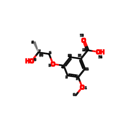 COc1cc(OC[C@@H](C)O)cc(C(=O)O)c1